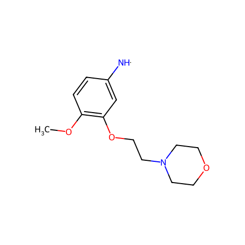 COc1ccc([NH])cc1OCCN1CCOCC1